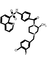 C[C@H]1CN(Cc2ccc(Cl)c(F)c2)CCN1C(=O)c1ccc(NS(=O)(=O)c2cccc3cccnc23)cc1